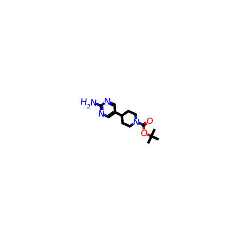 CC(C)(C)OC(=O)N1CCC(c2cnc(N)nc2)CC1